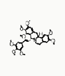 COc1cc2c(cc1OC)[C@H]1Cc3cc(OC)c(OC)c(OC)c3[C@@H](/C=C/c3cc(OC)c(OC)c(OC)c3)N1CC2